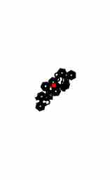 Cc1ccccc1-c1c(C)ccc2c(N(C3=CCCC=C3)c3cccc(N4c5cc(ccc5C)N(c5ccccc5)c5ccccc5Sc5ccccc54)c3C)c(C)sc12